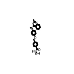 Cc1nc(N(C)c2ccc(OCc3ccc(C(=O)NO)cc3)cc2)c2ccccc2n1